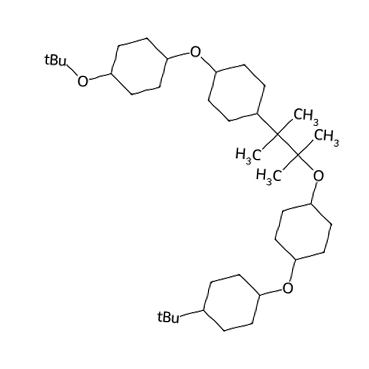 CC(C)(C)OC1CCC(OC2CCC(C(C)(C)C(C)(C)OC3CCC(OC4CCC(C(C)(C)C)CC4)CC3)CC2)CC1